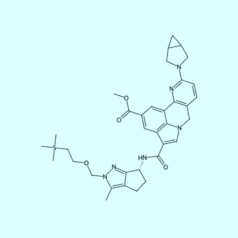 COC(=O)c1cc2c3c(c1)c(C(=O)N[C@@H]1CCc4c1nn(COCCS(C)(C)C)c4C)cn3Cc1ccc(N3CC4CC4C3)nc1-2